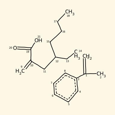 C=C(C)c1ccccc1.C=C(CC(CC)CCCC)C(=O)O